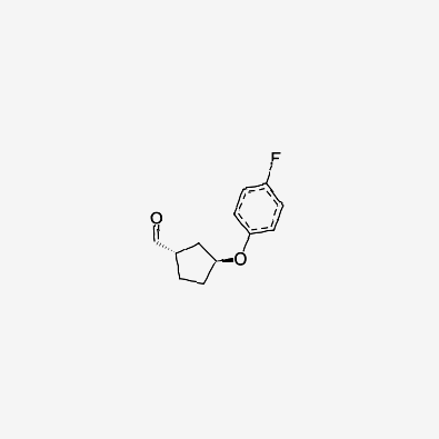 O=C[C@H]1CC[C@H](Oc2ccc(F)cc2)C1